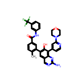 Cc1ccc(C(=O)Nc2cccc(C(F)(F)F)c2)cc1-c1cc2cnc(N)nc2c(-c2ccnc(N3CCOCC3)c2)c1O